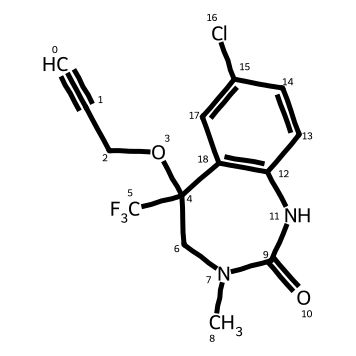 C#CCOC1(C(F)(F)F)CN(C)C(=O)Nc2ccc(Cl)cc21